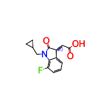 O=C(O)/C=C1/C(=O)N(CC2CC2)c2c(F)cccc21